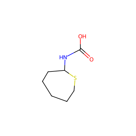 O=C(O)NC1CCCCCS1